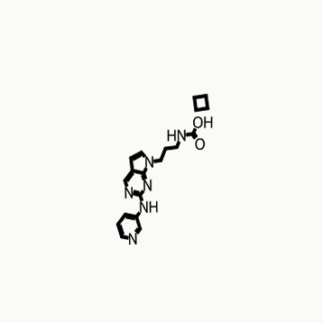 C1CCC1.O=C(O)NCCCn1ccc2cnc(Nc3cccnc3)nc21